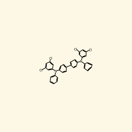 Clc1cc(Cl)cc(N(c2ccccc2)c2ccc(-c3ccc(N(c4ccccc4)c4cc(Cl)cc(Cl)c4)cc3)cc2)c1